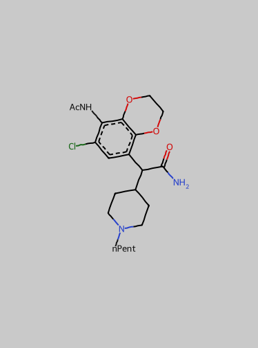 CCCCCN1CCC(C(C(N)=O)c2cc(Cl)c(NC(C)=O)c3c2OCCO3)CC1